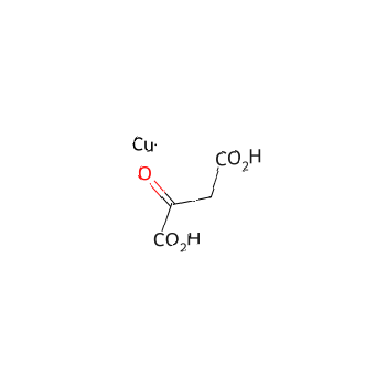 O=C(O)CC(=O)C(=O)O.[Cu]